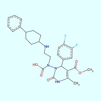 COC(=O)C1=C(C)NC(=O)N(N(CCNC2CCC(c3ccccc3)CC2)C(=O)O)C1c1ccc(F)c(F)c1